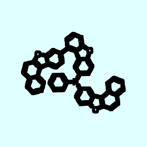 c1ccc(N(c2ccc3oc4cccc(-c5ccc6c(c5)oc5ccc7ccccc7c56)c4c3c2)c2ccc3oc4ccc5ccccc5c4c3c2)cc1